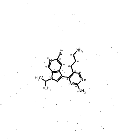 CC(C)n1cc(-c2nc(N)ncc2CCCN)c2cc(Br)ncc21